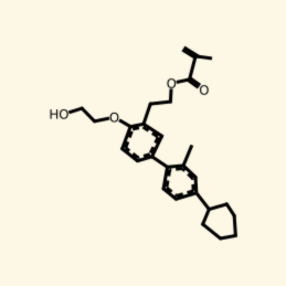 C=C(C)C(=O)OCCc1cc(-c2ccc(C3CCCCC3)cc2C)ccc1OCCO